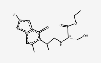 CCOC(=O)[C@H](CO)NCC(C)n1c(C)cn2nc(Br)cc2c1=O